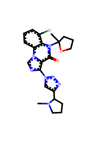 CN1CCCC1c1cn(-c2ncn3c2c(=O)n(C2(C)CCCO2)c2c(Cl)cccc23)nn1